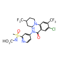 CS(=O)(=NC(=O)O)c1cc(NC(=O)c2cc(Cl)c(C(F)(F)F)cc2N2CCC(C(F)(F)F)CC2)ccn1